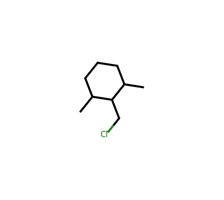 CC1CCCC(C)C1CCl